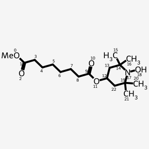 COC(=O)CCCCCCC(=O)OC1CC(C)(C)N(O)C(C)(C)C1